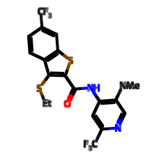 CCSc1c(C(=O)Nc2cc(C(F)(F)F)ncc2NC)sc2cc(C(F)(F)F)ccc12